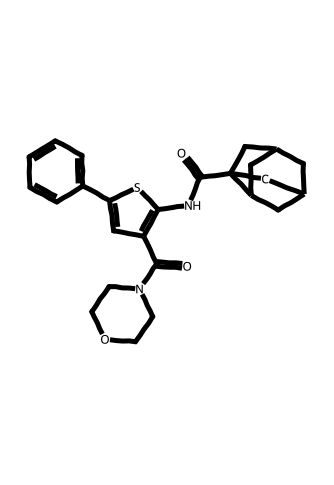 O=C(c1cc(-c2ccccc2)sc1NC(=O)C12CC3CC(CC1C3)C2)N1CCOCC1